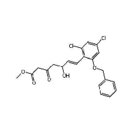 COC(=O)CC(=O)CC(O)C=Cc1c(Cl)cc(Cl)cc1OCc1ccccc1